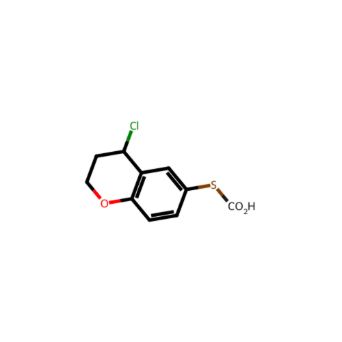 O=C(O)Sc1ccc2c(c1)C(Cl)CCO2